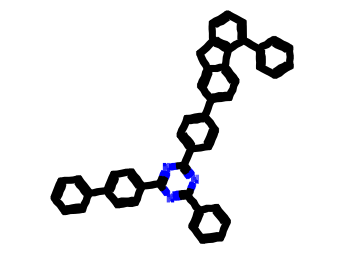 c1ccc(-c2ccc(-c3nc(-c4ccccc4)nc(-c4ccc(-c5ccc6c(c5)Cc5cccc(-c7ccccc7)c5-6)cc4)n3)cc2)cc1